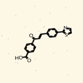 O=C(O)c1ccc(C(=O)C=Cc2ccc(-c3nccs3)cc2)cc1